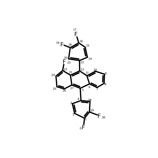 Fc1ccc(-c2c3ccccc3c(-c3ccc(F)c(F)c3)c3c(F)cccc23)cc1F